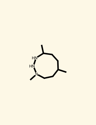 CC1CCC(C)NNN(C)CC1